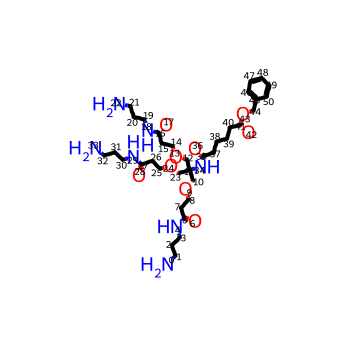 NCCCNC(=O)CCOCC(COCCC(=O)NCCCN)(COCCC(=O)NCCCN)NC(=O)CCCCC(=O)OCc1ccccc1